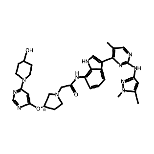 Cc1cnc(Nc2cc(C)n(C)n2)nc1-c1c[nH]c2c(NC(=O)CN3CC[C@H](Oc4cc(N5CCC(O)CC5)ncn4)C3)cccc12